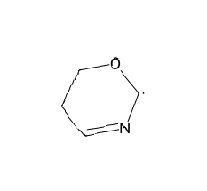 [CH]1N=CCCO1